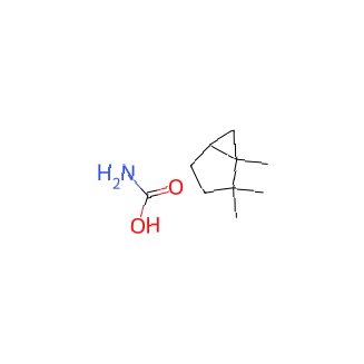 CC1(C)CCC2CC21C.NC(=O)O